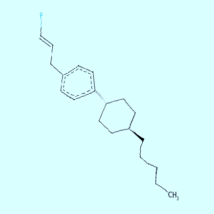 CCCCC[C@H]1CC[C@H](c2ccc(CC=CF)cc2)CC1